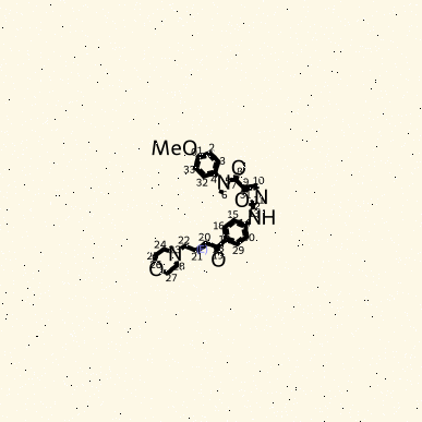 COc1ccc(N(C)C(=O)c2cnc(Nc3ccc(C(=O)/C=C/CN4CCOCC4)cc3)o2)cc1